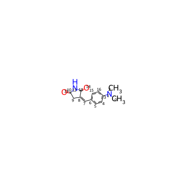 CN(C)c1ccc(C=C2CC(=O)NC2=O)cc1